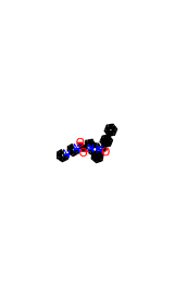 O=C(C(=O)N1CCC(N2CCCCC2)CC1)c1ccc2n1Cc1ccccc1N(C(=O)c1ccc(C3CCCCC3)cc1)C2